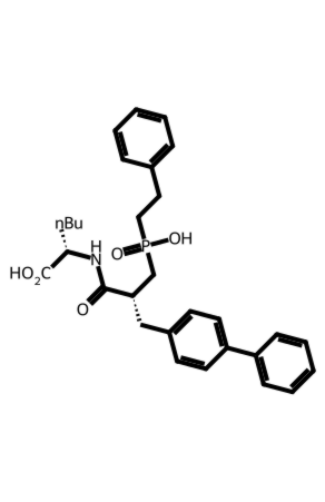 CCCC[C@H](NC(=O)[C@@H](Cc1ccc(-c2ccccc2)cc1)CP(=O)(O)CCc1ccccc1)C(=O)O